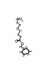 NCCOCCCC(=O)OCc1ccccc1